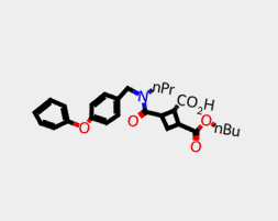 CCCCOC(=O)C1CC(C(=O)N(CCC)Cc2ccc(Oc3ccccc3)cc2)C1C(=O)O